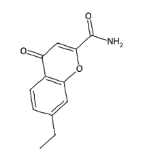 CCc1ccc2c(=O)cc(C(N)=O)oc2c1